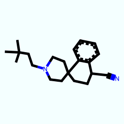 CC(C)(C)CCN1CCC2(CCC(C#N)c3ccccc32)CC1